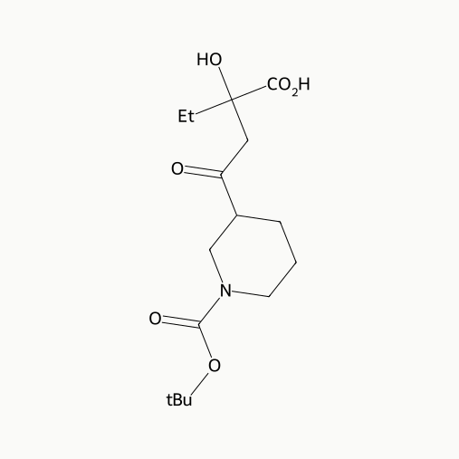 CCC(O)(CC(=O)C1CCCN(C(=O)OC(C)(C)C)C1)C(=O)O